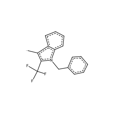 [CH2]c1c(C(F)(F)F)n(Cc2ccccc2)c2ccccc12